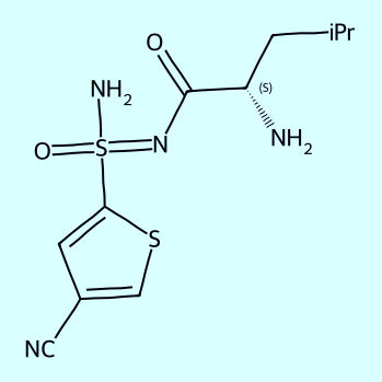 CC(C)C[C@H](N)C(=O)N=S(N)(=O)c1cc(C#N)cs1